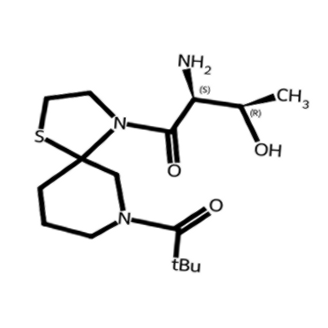 C[C@@H](O)[C@H](N)C(=O)N1CCSC12CCCN(C(=O)C(C)(C)C)C2